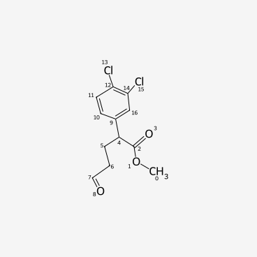 COC(=O)C(CCC=O)c1ccc(Cl)c(Cl)c1